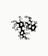 CCCC(=O)c1c(C)cc(C)c(C2CC(=O)C(/C(CC)=N/OCC)=C(O)C2)c1C.CCCOCCN(C(=O)CCl)c1c(CC)cccc1CC